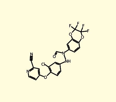 N#Cc1cc(Oc2ccc(NN(C=O)c3ccc4c(c3)OC(F)(F)C(F)(F)O4)cc2Cl)ccn1